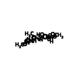 COC(=O)NS(=O)(=O)N1CCC(O)(c2ncc(-c3cc(C)cc(Nc4nccc(OC)n4)c3)s2)CC1